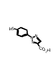 O=C(O)c1cnn(-c2ccc(S)cc2)n1